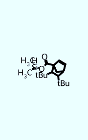 C[SiH](C)OC(=O)C12C=CC(C1)C(C(C)(C)C)C2C(C)(C)C